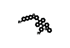 CC(C)c1ccc(N(c2c3ccccc3c(-c3ccc4oc5cc6cc7ccc(C(C)C)cc7cc6cc5c4c3)c3ccccc23)c2cccc3c2oc2ccccc23)cc1